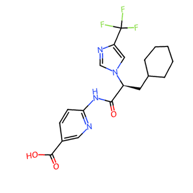 O=C(O)c1ccc(NC(=O)[C@H](CC2CCCCC2)n2cnc(C(F)(F)F)c2)nc1